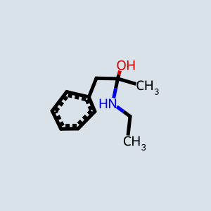 CCNC(C)(O)Cc1ccccc1